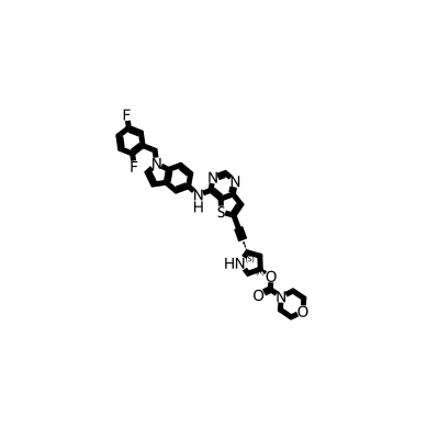 O=C(O[C@H]1CN[C@H](C#Cc2cc3ncnc(Nc4ccc5c(ccn5Cc5cc(F)ccc5F)c4)c3s2)C1)N1CCOCC1